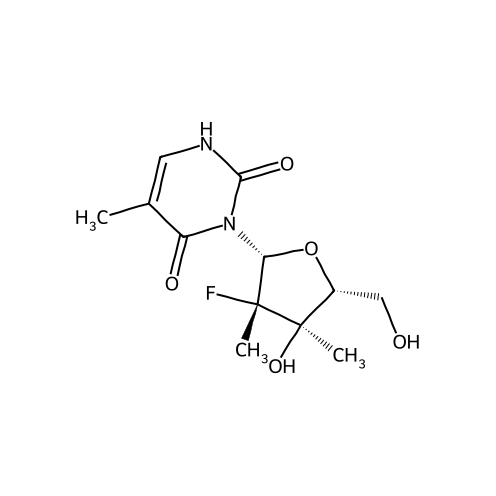 Cc1c[nH]c(=O)n([C@@H]2O[C@H](CO)[C@@](C)(O)[C@]2(C)F)c1=O